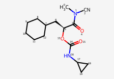 CN(C#N)C(=O)[C@H](CC1CCCCC1)OC(=O)NC1CC1